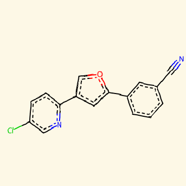 N#Cc1cccc(-c2cc(-c3ccc(Cl)cn3)co2)c1